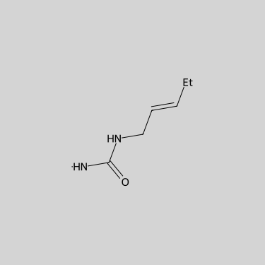 CCC=CCNC([NH])=O